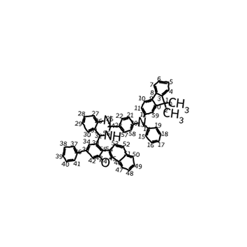 CC1(C)c2ccccc2-c2ccc(N(c3ccccc3)c3ccc(C4=Nc5ccccc5C(c5cc(-c6ccccc6)cc6oc7c8ccccc8ccc7c56)N4)cc3)cc21